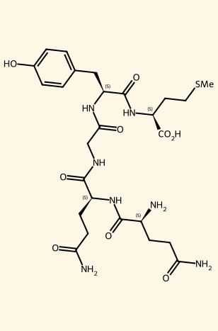 CSCC[C@H](NC(=O)[C@H](Cc1ccc(O)cc1)NC(=O)CNC(=O)[C@H](CCC(N)=O)NC(=O)[C@@H](N)CCC(N)=O)C(=O)O